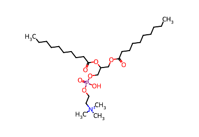 CCCCCCCCCC(=O)OCC(COP(=O)(O)OCC[N+](C)(C)C)OC(=O)CCCCCCCCC